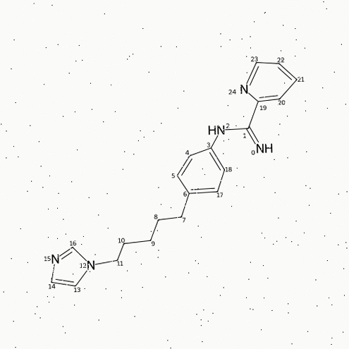 N=C(Nc1ccc(CCCCCn2ccnc2)cc1)c1ccccn1